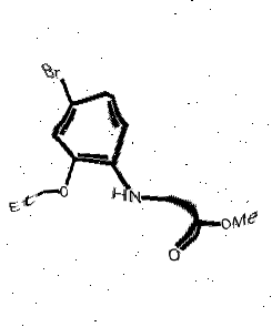 CCOc1cc(Br)ccc1NCC(=O)OC